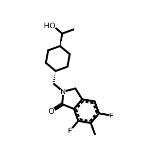 Cc1c(F)cc2c(c1F)C(=O)N(C[C@H]1CC[C@H](C(C)O)CC1)C2